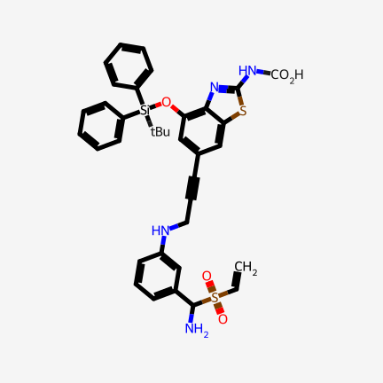 C=CS(=O)(=O)C(N)c1cccc(NCC#Cc2cc(O[Si](c3ccccc3)(c3ccccc3)C(C)(C)C)c3nc(NC(=O)O)sc3c2)c1